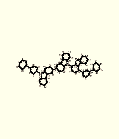 c1ccc(-c2ccc(-n3c4ccccc4c4cc(-c5ccc6c(c5)c5ccccc5n6-c5ccc(-c6cccc(-c7ccccc7)c6)c6c5sc5ccccc56)ccc43)cc2)cc1